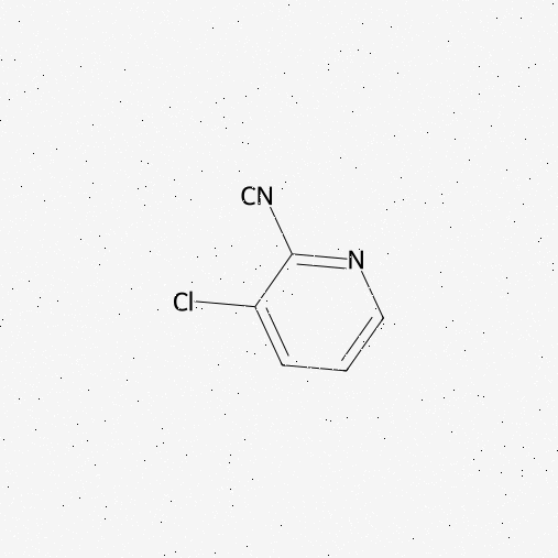 [C-]#[N+]c1ncccc1Cl